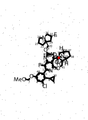 COCOc1cc(Cl)c(C2CC2)c(-c2nc3c4c(nc(OC[C@@]56CCCN5C[C@H](F)C6)nc4c2F)N2C[C@@H]4CC[C@H]([C@@H]2CO3)N4C(=O)OC(C)(C)C)c1